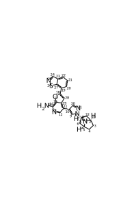 CN1[C@@H]2CC[C@H]1C[C@H](n1cc(-c3cnc(N)c4oc(-c5cccc6cnsc56)cc34)cn1)C2